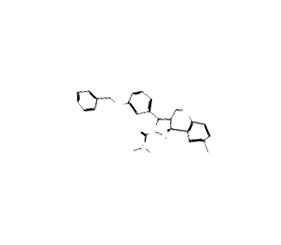 CN(C)C(=O)N1N=C2c3cc(F)ccc3OCC2C1c1cccc(OCc2ccccc2)c1